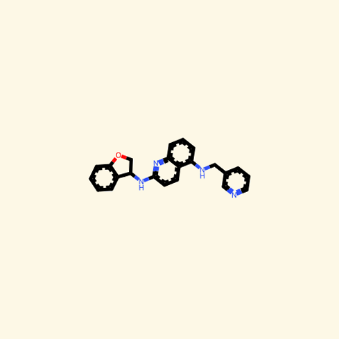 c1cncc(CNc2cccc3nc(NC4COc5ccccc54)ccc23)c1